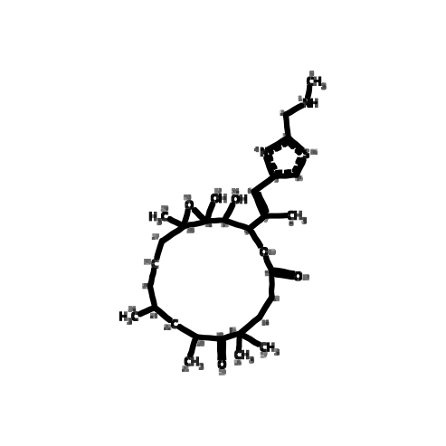 CNCc1nc(C=C(C)C2OC(=O)CCC(C)(C)C(=O)C(C)CC(C)CCCC3(C)OC3(O)C2O)cs1